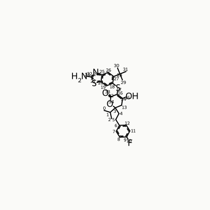 CC(C)C1(CCc2ccc(F)cc2)CC(O)=C(Sc2cc3sc(N)nc3cc2C(C)(C)C)C(=O)O1